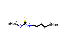 CCCCCCCCCCCCCNC(=S)NCCCCCC